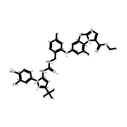 CCOC(=O)c1cnc2sc3cc(Oc4cc(C)ccc4CNC(=O)Nc4cc(C(C)(C)C)nn4-c4ccc(O)c(Cl)c4)cc(C)c3n12